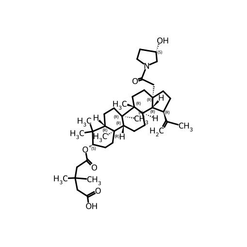 C=C(C)[C@@H]1CC[C@]2(CC(=O)N3CC[C@H](O)C3)CC[C@]3(C)[C@H](CC[C@@H]4[C@@]5(C)CC[C@H](OC(=O)CC(C)(C)CC(=O)O)C(C)(C)[C@@H]5CC[C@]43C)[C@@H]12